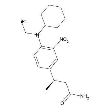 CC(C)CN(c1ccc([C@H](C)CC(N)=O)cc1[N+](=O)[O-])C1CCCCC1